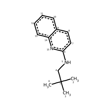 CC(C)(C)CNc1ccc2ccccc2n1